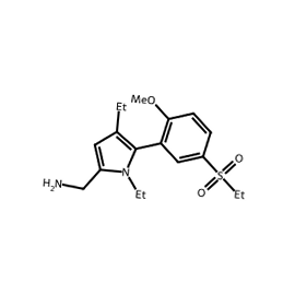 CCc1cc(CN)n(CC)c1-c1cc(S(=O)(=O)CC)ccc1OC